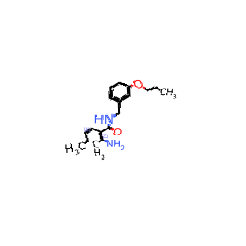 CC/C=C\C(C(=O)NCc1cccc(OCCC)c1)=C(/C)N